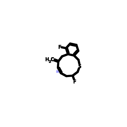 C=C1/C=C\CC(F)CSCc2cccc(F)c2C1